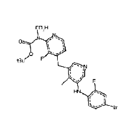 Cc1c(Cc2ccnc(N(C(=O)O)C(=O)OC(C)(C)C)c2F)cncc1Nc1ccc(Br)cc1F